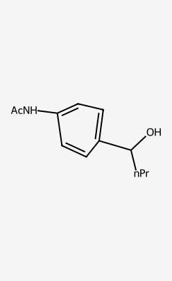 CCCC(O)c1ccc(NC(C)=O)cc1